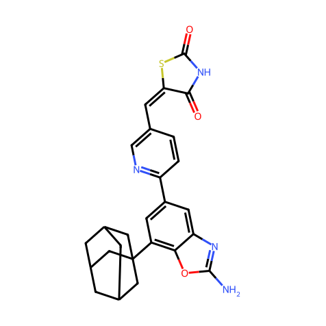 Nc1nc2cc(-c3ccc(C=C4SC(=O)NC4=O)cn3)cc(C34CC5CC(CC(C5)C3)C4)c2o1